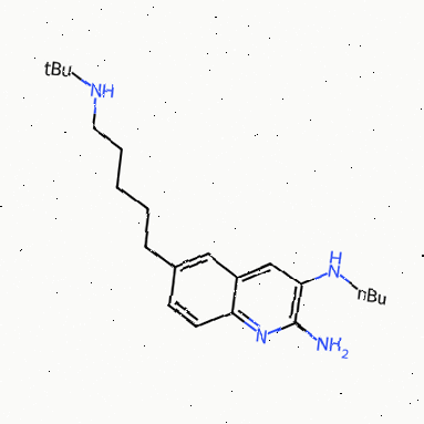 CCCCNc1cc2cc(CCCCCNC(C)(C)C)ccc2nc1N